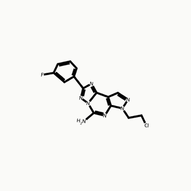 Nc1nc2c(cnn2CCCl)c2nc(-c3cccc(F)c3)nn12